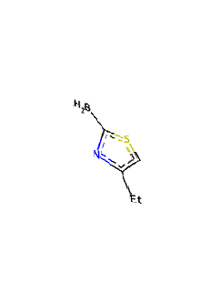 Bc1nc(CC)cs1